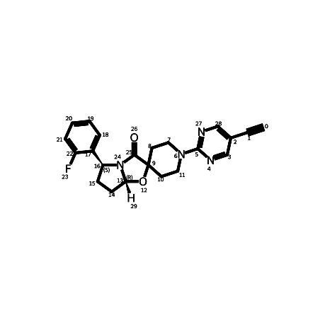 C#Cc1cnc(N2CCC3(CC2)O[C@@H]2CC[C@@H](c4ccccc4F)N2C3=O)nc1